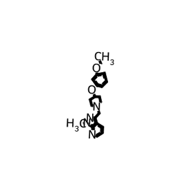 CCOc1cccc(OC2CCN(Cc3nn(C)c4ncccc34)CC2)c1